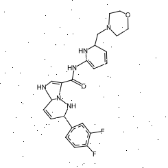 O=C(NC1=CC=CC(CN2CCOCC2)N1)C1=CNC2C=CC(c3ccc(F)c(F)c3)NN12